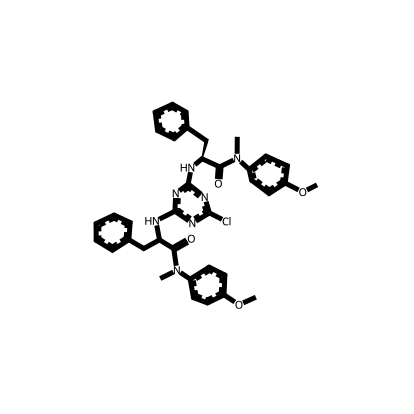 COc1ccc(N(C)C(=O)C(Cc2ccccc2)Nc2nc(Cl)nc(N[C@@H](Cc3ccccc3)C(=O)N(C)c3ccc(OC)cc3)n2)cc1